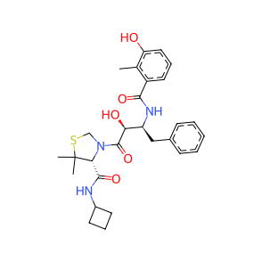 Cc1c(O)cccc1C(=O)N[C@@H](Cc1ccccc1)[C@H](O)C(=O)N1CSC(C)(C)[C@H]1C(=O)NC1CCC1